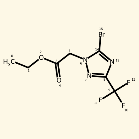 CCOC(=O)Cn1nc(C(F)(F)F)nc1Br